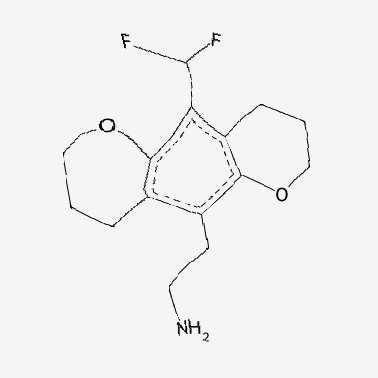 NCCc1c2c(c(C(F)F)c3c1OCCC3)OCCC2